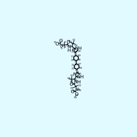 COC(=O)N(C)C(C)(C)C(=O)N[C@H](c1nc(-c2ccc(-c3ccc(-c4c[nH]c([C@@H](NC(=O)C(C)(C)N(C)C(=O)OC)C(C)(C)C)n4)cc3)cc2)c[nH]1)C(C)(C)C